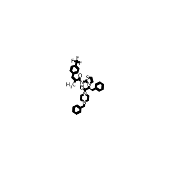 CC(=Cc1ccc(C(F)(F)F)cc1)C(=O)NC1SC=CN1[C@@H](Cc1ccccc1)C(=O)N1CCN(Cc2ccccc2)CC1